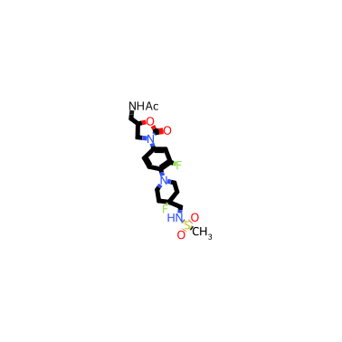 CC(=O)NCC1CN(c2ccc(N3CCC(F)(CNS(C)(=O)=O)CC3)c(F)c2)C(=O)O1